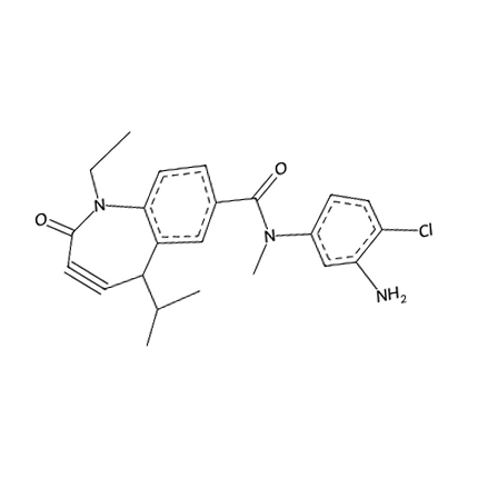 CCN1C(=O)C#CC(C(C)C)c2cc(C(=O)N(C)c3ccc(Cl)c(N)c3)ccc21